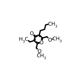 CCCCc1c(COC)oc(COC)c(CC)c1=O